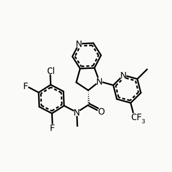 Cc1cc(C(F)(F)F)cc(N2c3ccncc3C[C@H]2C(=O)N(C)c2cc(Cl)c(F)cc2F)n1